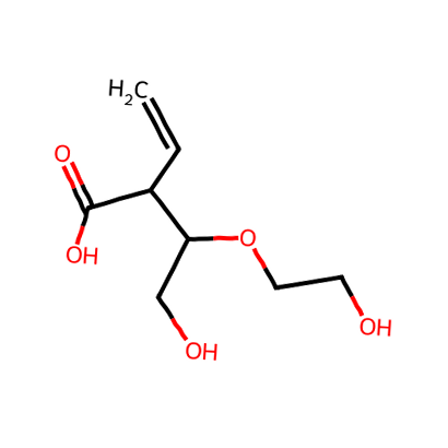 C=CC(C(=O)O)C(CO)OCCO